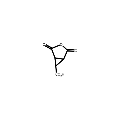 O=C(O)C1C2C(=O)OC(=O)C12